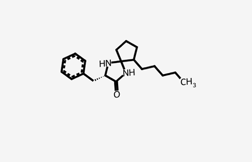 CCCCCC1CCCC12NC(=O)[C@H](Cc1ccccc1)N2